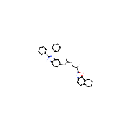 CC(CCC(C)c1nc2ccc3ccccc3c2o1)Cc1ccc2nc(-c3ccccc3)n(-c3ccccc3)c2c1